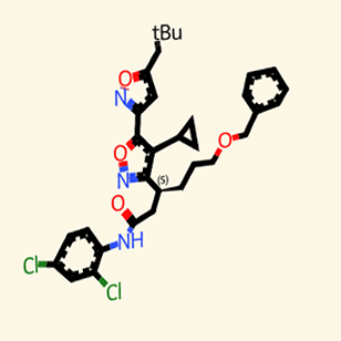 CC(C)(C)Cc1cc(-c2onc([C@@H](CCCOCc3ccccc3)CC(=O)Nc3ccc(Cl)cc3Cl)c2C2CC2)no1